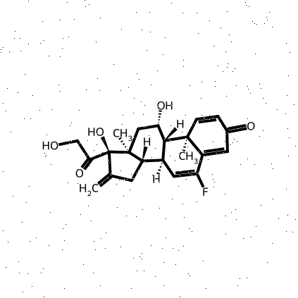 C=C1C[C@H]2[C@@H]3C=C(F)C4=CC(=O)C=C[C@]4(C)[C@H]3[C@@H](O)C[C@]2(C)[C@@]1(O)C(=O)CO